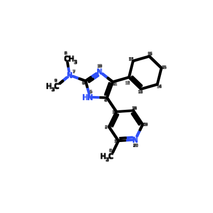 Cc1cc(-c2[nH]c(N(C)C)nc2C2=CCCCC2)ccn1